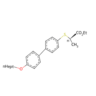 CCCCCCCOc1ccc(-c2ccc(S[C@H](C)C(=O)OCC)cc2)cc1